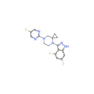 Fc1cnc(N2CCN(c3n[nH]c4cc(F)cc(F)c34)C3(CC3)C2)nc1